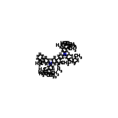 Cc1ccccc1-c1ccc(N(c2ccc3c(c2)C(C)C(C)c2cc(N(c4ccc(-c5ccccc5C)c(C)c4)c4ccc5c(c4)C(C)(C)C(C)(C)C5(C)C)ccc2-3)c2ccc3c(c2)C(C)(C)C(C)(C)C3(C)C)cc1C